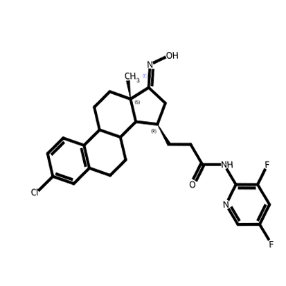 C[C@]12CCC3c4ccc(Cl)cc4CCC3C1[C@H](CCC(=O)Nc1ncc(F)cc1F)C/C2=N\O